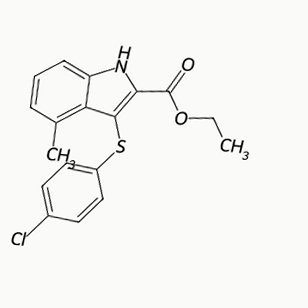 CCOC(=O)c1[nH]c2cccc(C)c2c1Sc1ccc(Cl)cc1